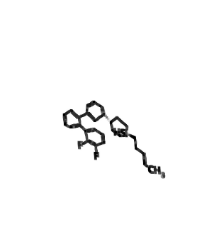 CC=CCC[Si@H]1CC[C@H](c2cccc(-c3ccccc3-c3cccc(F)c3F)c2)CC1